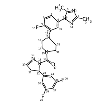 Cc1nc(C)n(-c2ccc(F)c(N3CCN(C(=O)N4N=CCC4c4cc(F)cc(F)c4)CC3)c2)n1